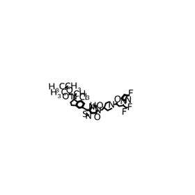 CN(C(=O)OC(C)(C)C)C1CCc2cc(-c3snc4c(=O)n(CC5(O)CCN(C(=O)CC(C(F)F)n6ccc(F)n6)CC5)cnc34)cc(Cl)c21